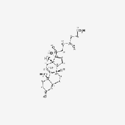 C[C@]12CCC(=O)C=C1CC[C@@H]1C2=CC[C@@]2(C)[C@H]1CC[C@]2(O)C(=O)COC(=O)CCC(=O)O